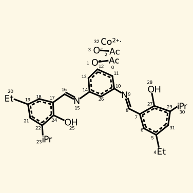 CC(=O)[O-].CC(=O)[O-].CCc1cc(C=Nc2cccc(N=Cc3cc(CC)cc(C(C)C)c3O)c2)c(O)c(C(C)C)c1.[Co+2]